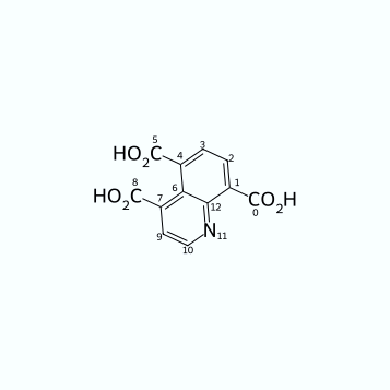 O=C(O)c1ccc(C(=O)O)c2c(C(=O)O)ccnc12